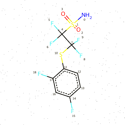 NS(=O)(=O)C(F)(F)C(F)(F)Sc1ccc(F)cc1F